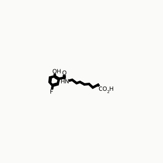 O=C(O)CCCCCCCNC(=O)c1cc(F)ccc1O